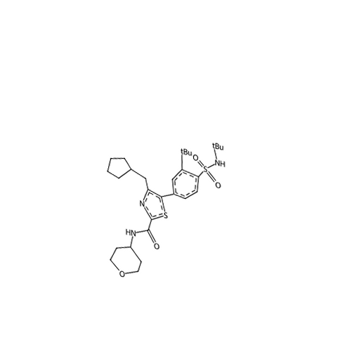 CC(C)(C)NS(=O)(=O)c1ccc(-c2sc(C(=O)NC3CCOCC3)nc2CC2CCCC2)cc1C(C)(C)C